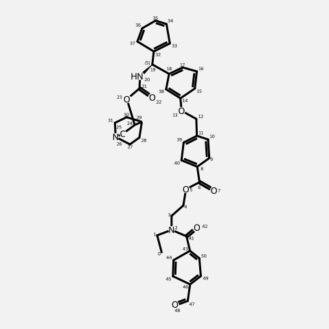 CCN(CCOC(=O)c1ccc(COc2cccc([C@@H](NC(=O)OC3CN4CCC3CC4)c3ccccc3)c2)cc1)C(=O)c1ccc(C=O)cc1